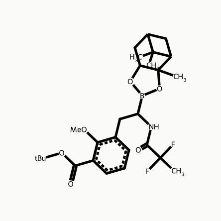 COc1c(CC(NC(=O)C(C)(F)F)B2OC3CC4CC(C4(C)C)C3(C)O2)cccc1C(=O)OC(C)(C)C